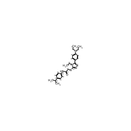 CCN(CC)c1ccc(-c2nnc(SCC(=O)Nc3ccc(C(C)C)cc3)n2CC)cc1